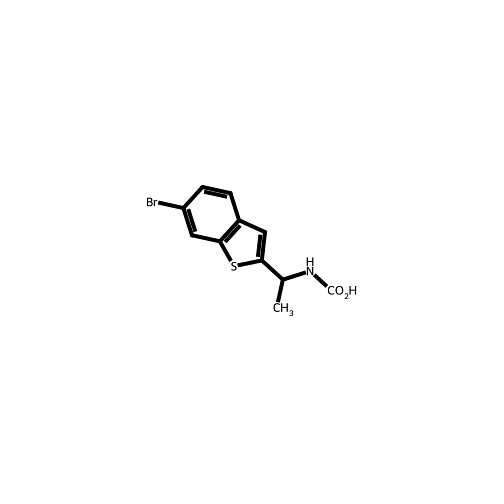 CC(NC(=O)O)c1cc2ccc(Br)cc2s1